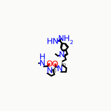 CCn1c(CC[C@@H]2CCCN2C(=O)[C@H]2CCCN2C(=O)CNC)cc2ccc(C(=N)N)cc21